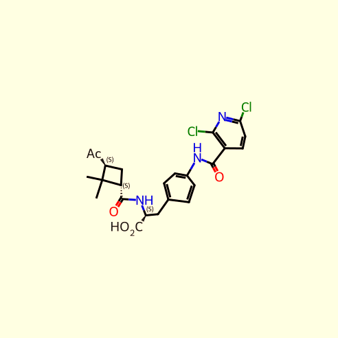 CC(=O)[C@H]1C[C@H](C(=O)N[C@@H](Cc2ccc(NC(=O)c3ccc(Cl)nc3Cl)cc2)C(=O)O)C1(C)C